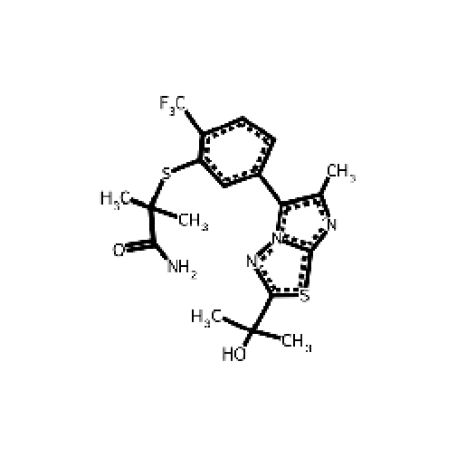 Cc1nc2sc(C(C)(C)O)nn2c1-c1ccc(C(F)(F)F)c(SC(C)(C)C(N)=O)c1